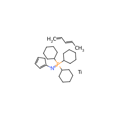 C1=CCC(N=P(C2CCCCC2)(C2CCCCC2)C2CCCCC2)=C1.C=CC=CC.[Ti]